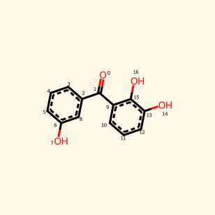 O=C(c1cccc(O)c1)c1cccc(O)c1O